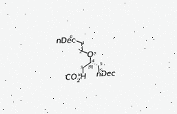 CCCCCCCCCCCCO[C@H](CCCCCCCCCCC)CC(=O)O